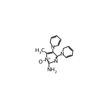 Cc1c(N2C=CC=CC2)c(N2C=CC=CC2)nc(N)[n+]1[O-]